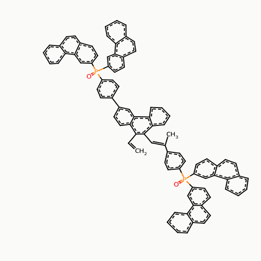 C=Cc1c(/C=C(\C)c2ccc(P(=O)(c3ccc4ccc5ccccc5c4c3)c3ccc4ccc5ccccc5c4c3)cc2)c2ccccc2c2cc(-c3ccc(P(=O)(c4ccc5ccc6ccccc6c5c4)c4ccc5ccc6ccccc6c5c4)cc3)ccc12